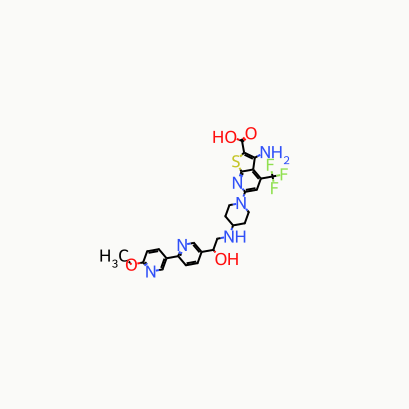 COc1ccc(-c2ccc(C(O)CNC3CCN(c4cc(C(F)(F)F)c5c(N)c(C(=O)O)sc5n4)CC3)cn2)cn1